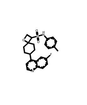 Cc1ccc(NS(=O)(=O)C2COC23CCC(c2ccnc4ccc(F)cc24)CC3)cc1